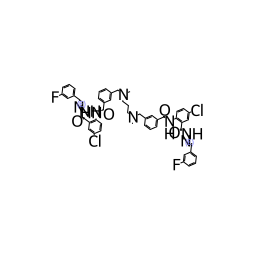 CN(CCCN(C)Cc1cccc(C(=O)Nc2ccc(Cl)cc2C(=O)N/N=C/c2cccc(F)c2)c1)Cc1cccc(C(=O)Nc2ccc(Cl)cc2C(=O)N/N=C/c2cccc(F)c2)c1